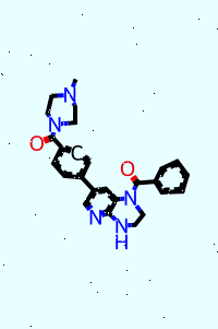 CN1CCN(C(=O)c2ccc(-c3cnc4c(c3)N(C(=O)c3ccccc3)CCN4)cc2)CC1